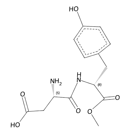 COC(=O)[C@@H](Cc1ccc(O)cc1)NC(=O)[C@@H](N)CC(=O)O